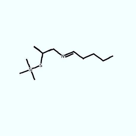 CCCCC=NCC(C)S[Si](C)(C)C